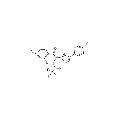 O=c1c2ccc(F)cc2nc(C(F)C(F)(F)F)n1-c1nc(-c2ccc(Cl)cc2)cs1